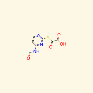 O=CNc1ccnc(SC(=O)C(=O)O)n1